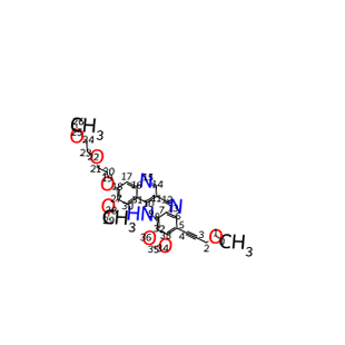 COCC#Cc1ccc(Nc2c(C#N)cnc3cc(OCCOCCOC)c(OC)cc23)c2c1OCO2